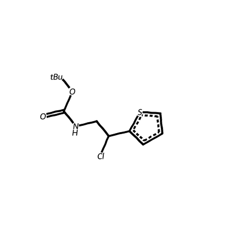 CC(C)(C)OC(=O)NCC(Cl)c1cccs1